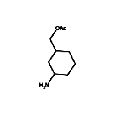 CC(=O)OCC1CCCC(N)C1